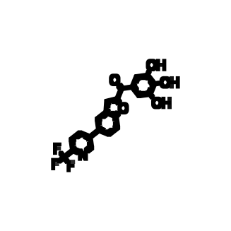 O=C(c1cc(O)c(O)c(O)c1)c1cc2cc(-c3ccc(C(F)(F)F)nc3)ccc2o1